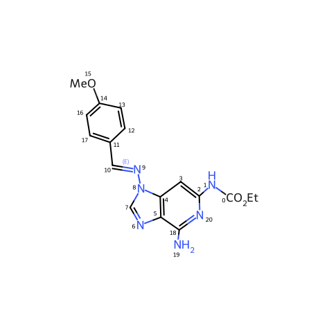 CCOC(=O)Nc1cc2c(ncn2/N=C/c2ccc(OC)cc2)c(N)n1